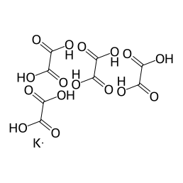 O=C(O)C(=O)O.O=C(O)C(=O)O.O=C(O)C(=O)O.O=C(O)C(=O)O.[K]